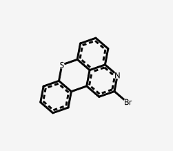 Brc1cc2c3c(cccc3n1)Sc1ccccc1-2